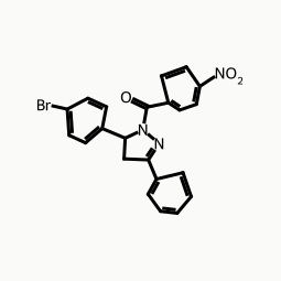 O=C(c1ccc([N+](=O)[O-])cc1)N1N=C(c2ccccc2)CC1c1ccc(Br)cc1